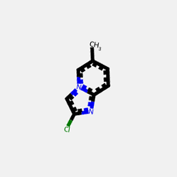 Cc1ccc2nc(Cl)cn2c1